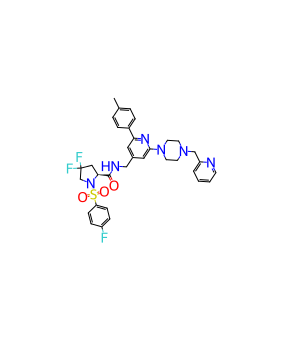 Cc1ccc(-c2cc(CNC(=O)[C@@H]3CC(F)(F)CN3S(=O)(=O)c3ccc(F)cc3)cc(N3CCN(Cc4ccccn4)CC3)n2)cc1